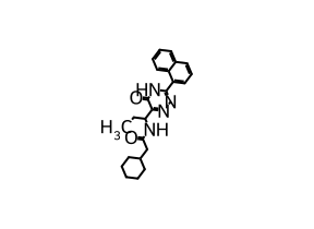 CCC(NC(=O)CC1CCCCC1)c1nnc(-c2cccc3ccccc23)[nH]c1=O